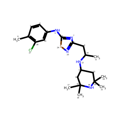 Cc1ccc(Nc2nc(CC(C)NC3CC(C)(C)NC(C)(C)C3)ns2)cc1Cl